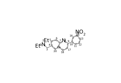 CCN(CC)Cc1ccc2nc(-c3cccc([N+](=O)[O-])c3)ccc2c1